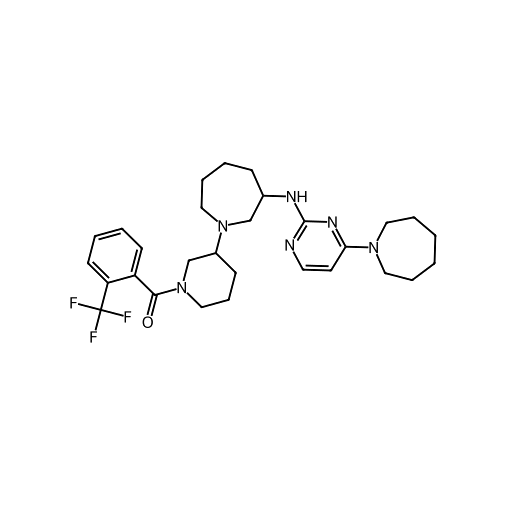 O=C(c1ccccc1C(F)(F)F)N1CCCC(N2CCCCC(Nc3nccc(N4CCCCCC4)n3)C2)C1